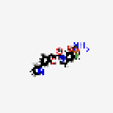 NS(=O)(=O)c1cc2c(cc1F)CCN2C(=O)[C@@H]1Cc2ccc(-c3ccccn3)cc2O1